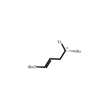 CCCC[C@@H](CC)CC=COCC(C)C